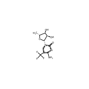 C[C@H]1O[C@@H](n2cc(C(F)(F)F)c(N)nc2=O)[C@H](O)[C@@H]1O